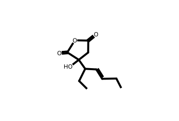 CCC=CC(CC)C1(O)CC(=O)OC1=O